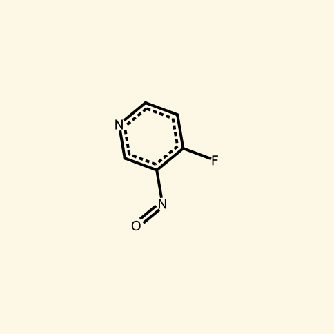 O=Nc1cnccc1F